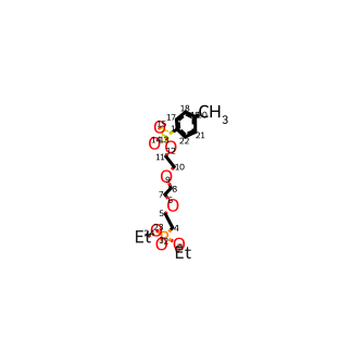 CCOP(=O)(CCOCCOCCOS(=O)(=O)c1ccc(C)cc1)OCC